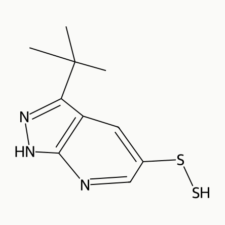 CC(C)(C)c1n[nH]c2ncc(SS)cc12